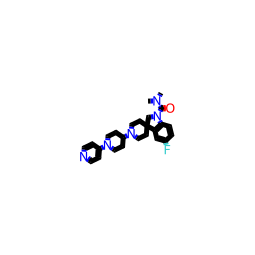 CN(C)C(=O)N1CC2(CCN(C3CCN(c4ccncc4)CC3)CC2)c2cc(F)ccc21